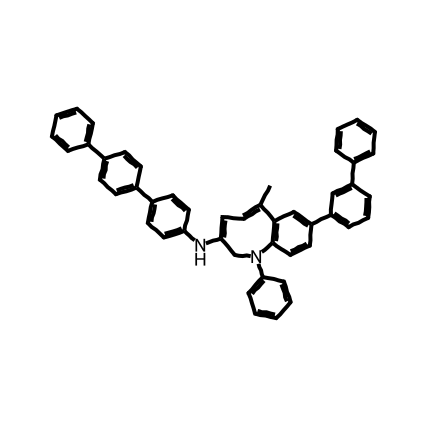 C/C1=C\C=C(\Nc2ccc(-c3ccc(-c4ccccc4)cc3)cc2)CN(c2ccccc2)c2ccc(-c3cccc(-c4ccccc4)c3)cc21